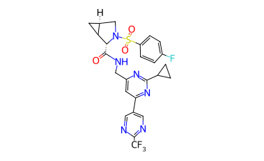 O=C(NCc1cc(-c2cnc(C(F)(F)F)nc2)nc(C2CC2)n1)[C@@H]1C2C[C@H]2CN1S(=O)(=O)c1ccc(F)cc1